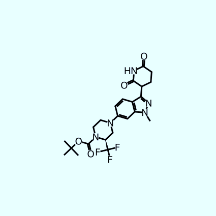 Cn1nc(C2CCC(=O)NC2=O)c2ccc(N3CCN(C(=O)OC(C)(C)C)[C@H](C(F)(F)F)C3)cc21